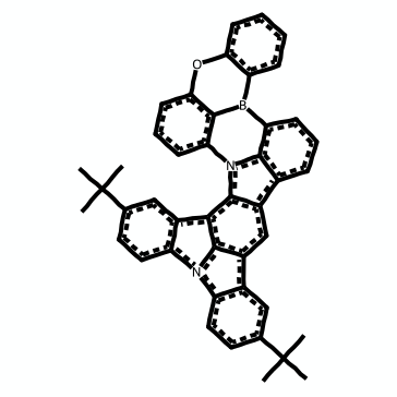 CC(C)(C)c1ccc2c(c1)c1cc3c4cccc5c4n(c3c3c4cc(C(C)(C)C)ccc4n2c13)-c1cccc2c1B5c1ccccc1O2